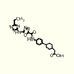 CCc1nsc(Nc2nnc(C(=O)Nc3ccc(C4CCC(CC(=O)O)CC4)cc3)o2)n1